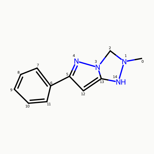 CN1Cn2nc(-c3ccccc3)cc2N1